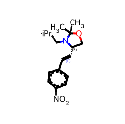 C[C](C)CN1[C@@H](/C=C/c2ccc([N+](=O)[O-])cc2)COC1(C)C